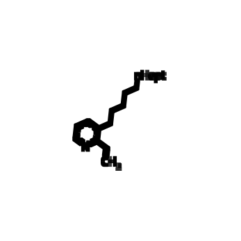 C=Cc1ncccc1CCCCCCCCCCCC